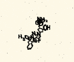 CO[C@H]1Cc2ccccc2[C@H]1Nc1ncnc2c1c(F)cn2[C@@H]1C[C@@H](COS(N)(=O)=O)[C@@H](O)C1